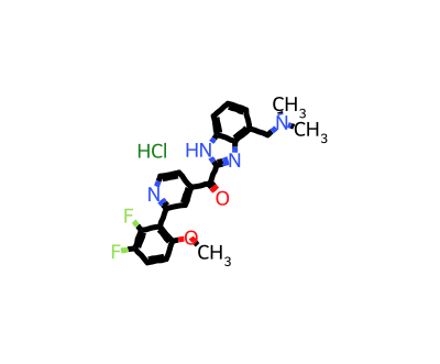 COc1ccc(F)c(F)c1-c1cc(C(=O)c2nc3c(CN(C)C)cccc3[nH]2)ccn1.Cl